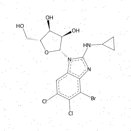 OC[C@H]1O[C@@H](n2c(NC3CC3)nc3c(Br)c(Cl)c(Cl)cc32)[C@H](O)[C@@H]1O